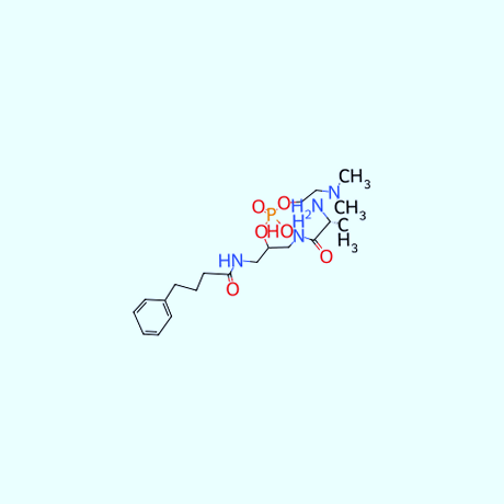 C[C@@H](N)C(=O)NCC(CNC(=O)CCCc1ccccc1)OP(=O)(O)OCCN(C)C